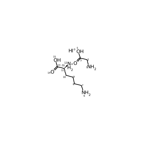 I.NCC(=O)O.NCCCC[C@H](N)C(=O)O